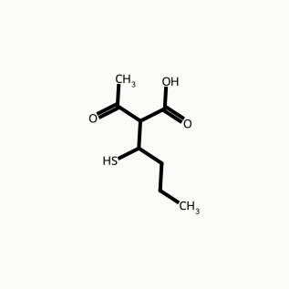 CCCC(S)C(C(C)=O)C(=O)O